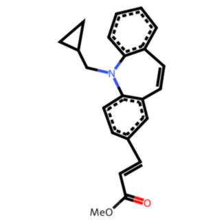 COC(=O)C=Cc1ccc2c(c1)C=Cc1ccccc1N2CC1CC1